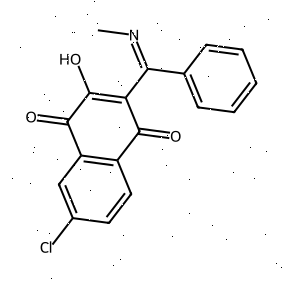 C/N=C(\C1=C(O)C(=O)c2cc(Cl)ccc2C1=O)c1ccccc1